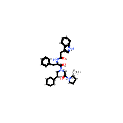 O=C(Cc1c[nH]c2ccccc12)NC(Cc1ccccc1)C(=O)N(CCC1CCCCC1)CC(=O)N1CCC[C@@H]1C(=O)O